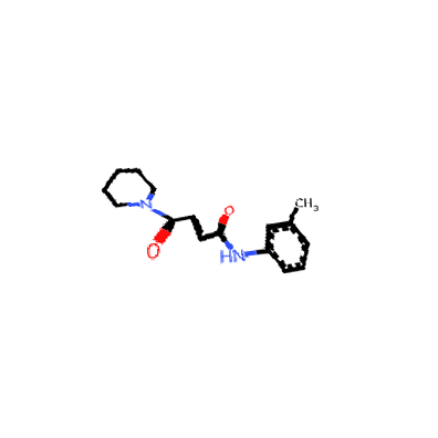 Cc1cccc(NC(=O)C=CC(=O)N2CCCCC2)c1